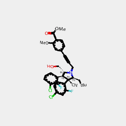 COC(=O)c1ccc(C#CCN2[C@@H](CC(C)(C)C)[C@](C#N)(c3ccc(Cl)cc3F)[C@@H](c3cccc(Cl)c3F)[C@@H]2CO)cc1OC